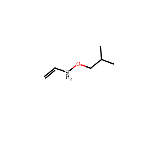 C=C[SiH2]OCC(C)C